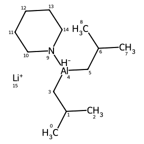 CC(C)[CH2][AlH-]([CH2]C(C)C)[N]1CCCCC1.[Li+]